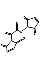 C=C(C(=O)ON1C(=O)C=CC1=O)N1C(=O)C=CC1=O